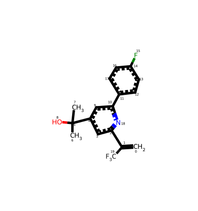 C=C(c1cc(C(C)(C)O)cc(-c2ccc(F)cc2)n1)C(F)(F)F